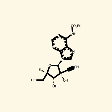 C#C[C@]1(O)[C@H](n2cnc3c(NC(=O)OCC)ncnc32)O[C@](F)(CO)[C@H]1O